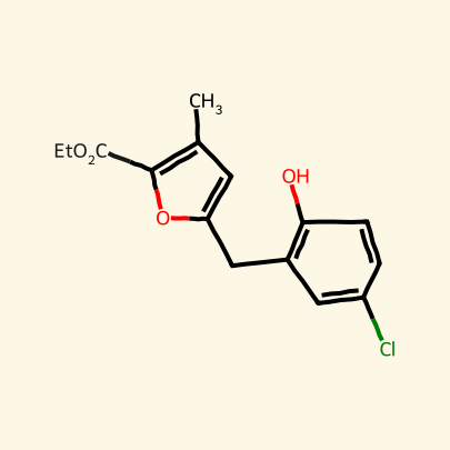 CCOC(=O)c1oc(Cc2cc(Cl)ccc2O)cc1C